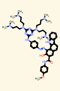 COc1ccc(NC(=O)c2cc3ccc4c5ccccc5[nH]c4c3c(N=Nc3ccc(Nc4nc(N(CCCN(C)C)CCCN(C)C)nc(N(CCCN(C)C)CCCN(C)C)n4)cc3)c2O)cc1